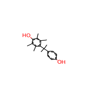 Cc1c(C)c(C(C)(C)c2ccc(O)cc2)c(C)c(C)c1O